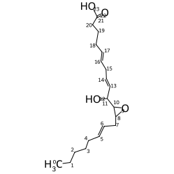 CCCCC/C=C/CC1OC1C(O)/C=C/C/C=C/CCCC(=O)O